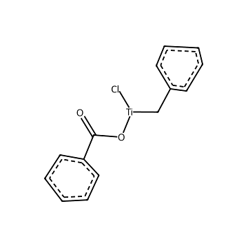 O=C([O][Ti]([Cl])[CH2]c1ccccc1)c1ccccc1